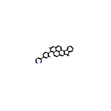 Cc1cc(-c2cccnc2)ccc1-c1c(C)cc2ccc3c4c(cc5ccc1c2c53)C(C)(C)c1ccccc1-4